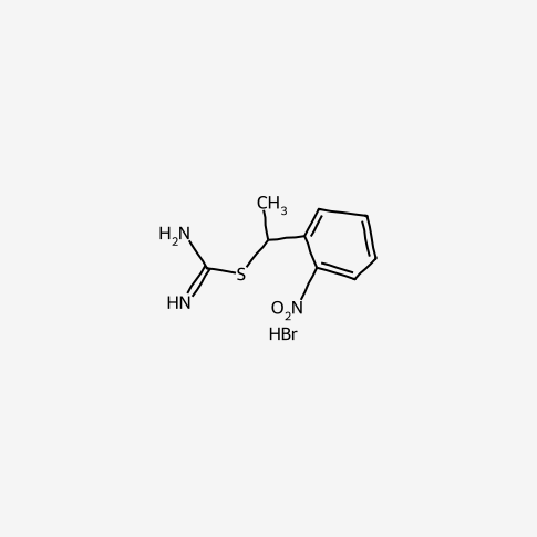 Br.CC(SC(=N)N)c1ccccc1[N+](=O)[O-]